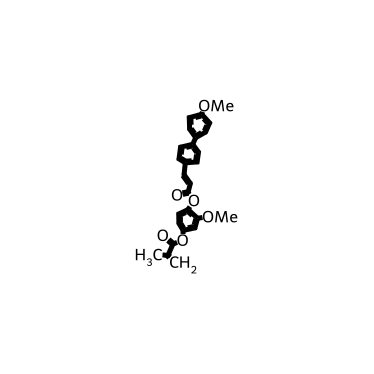 C=C(C)C(=O)Oc1ccc(OC(=O)/C=C/c2ccc(-c3ccc(OC)cc3)cc2)c(OC)c1